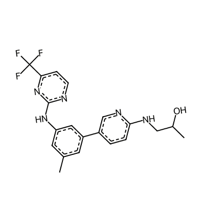 Cc1cc(Nc2nccc(C(F)(F)F)n2)cc(-c2ccc(NCC(C)O)nc2)c1